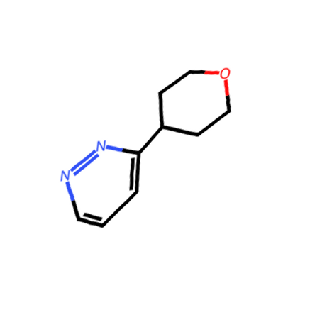 c1cnnc(C2CCOCC2)c1